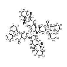 O=C1c2cc3c(cc2C2c4ccccc4C24c2ccccc2C14)c1c2c4cc5c(cc4n4c6cc7c(cc6c(c6c8cc9c(cc8n3c16)C(F)(F)c1ccccc1C9(F)F)c24)C1c2ccccc2C12c1ccccc1C2C7=O)C(F)(F)c1ccccc1C5(F)F